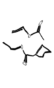 C=COC(C)=O.CCOC(=O)C1=CCC1